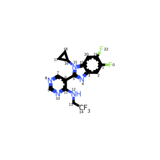 Fc1cc2nc(-c3cncnc3NCC(F)(F)F)n(C3CC3)c2cc1F